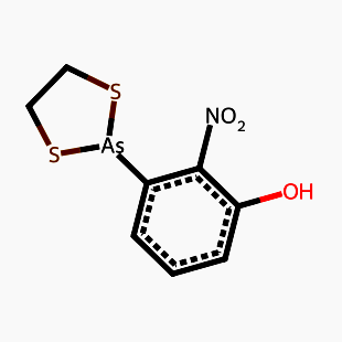 O=[N+]([O-])c1c(O)cccc1[As]1SCCS1